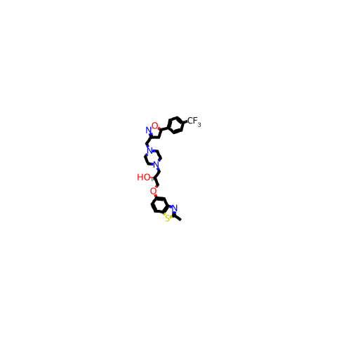 Cc1nc2cc(OC[C@H](O)CN3CCN(CC4=NOC(c5ccc(C(F)(F)F)cc5)C4)CC3)ccc2s1